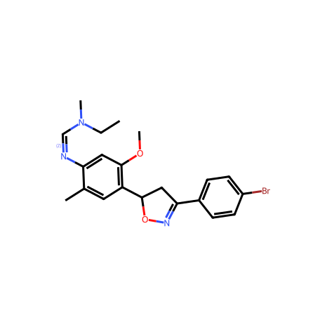 CCN(C)/C=N\c1cc(OC)c(C2CC(c3ccc(Br)cc3)=NO2)cc1C